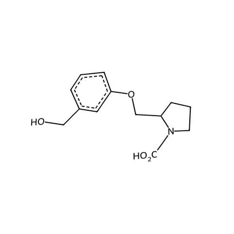 O=C(O)N1CCCC1COc1cccc(CO)c1